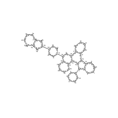 c1ccc(-n2c3ccccc3c3c4ccccc4c4cc(-c5ccc(-c6cn7cccnc7n6)cc5)c5ccccc5c4c32)cc1